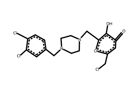 O=c1cc(CCl)oc(CN2CCN(Cc3ccc(Cl)c(Cl)c3)CC2)c1O